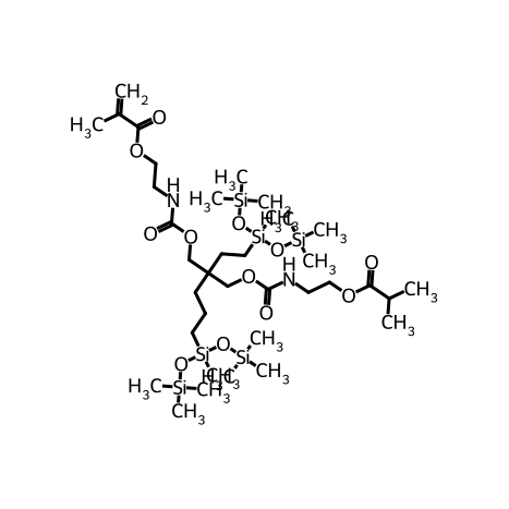 C=C(C)C(=O)OCCNC(=O)OCC(CCC[Si](C)(O[Si](C)(C)C)O[Si](C)(C)C)(CC[Si](C)(O[Si](C)(C)C)O[Si](C)(C)C)COC(=O)NCCOC(=O)C(C)C